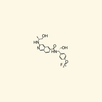 C[C@@H](CO)Nc1cc2cc(C(=O)N[C@H](CO)c3ccc(OC(F)(F)F)cc3)ccc2cn1